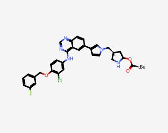 CC(C)(C)C(=O)OC1C[C@H](Cn2ccc(-c3ccc4ncnc(Nc5ccc(OCc6cccc(F)c6)c(Cl)c5)c4c3)c2)CN1